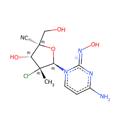 C[C@]1(Cl)[C@H](n2ccc(N)n/c2=N\O)O[C@](C#N)(CO)[C@H]1O